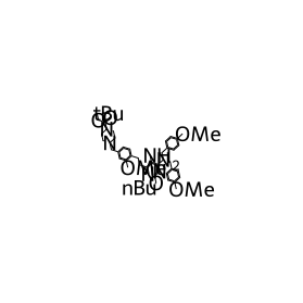 CCCCOc1nc(CCc2ccc(CN3CCN(C(=O)OC(C)(C)C)CC3)cc2OC)c(N)c(N(Cc2ccc(OC)cc2)Cc2ccc(OC)cc2)n1